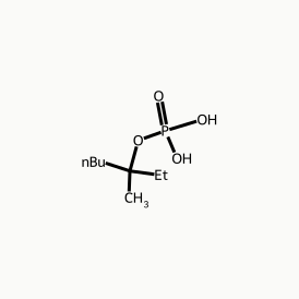 CCCCC(C)(CC)OP(=O)(O)O